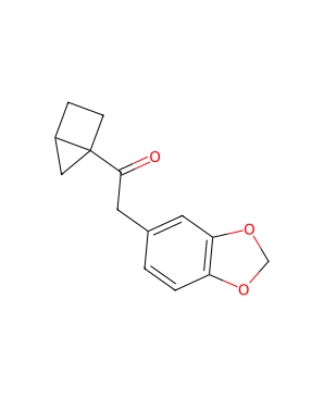 O=C(Cc1ccc2c(c1)OCO2)C12CCC1C2